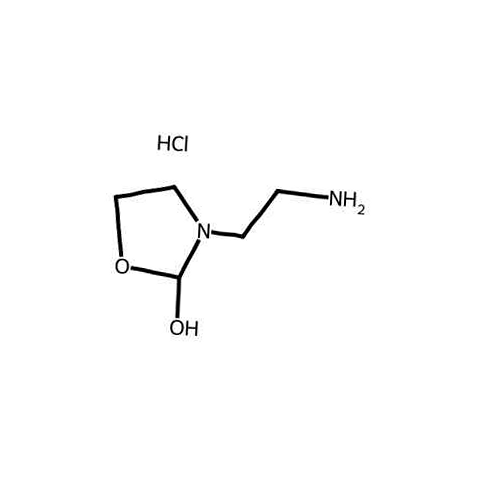 Cl.NCCN1CCOC1O